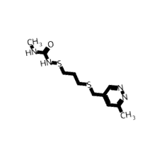 CNC(=O)NSCCCSCc1cnnc(C)c1